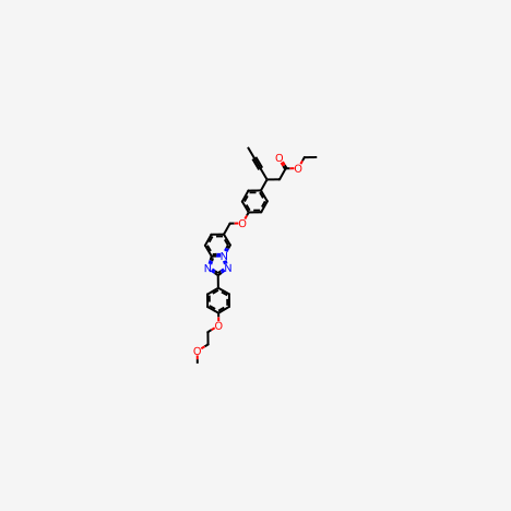 CC#CC(CC(=O)OCC)c1ccc(OCc2ccc3nc(-c4ccc(OCCOC)cc4)nn3c2)cc1